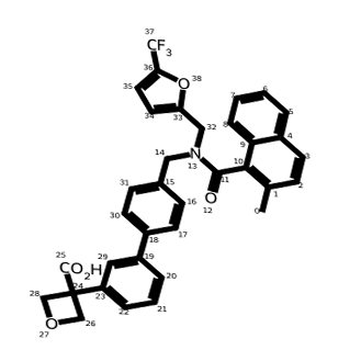 Cc1ccc2ccccc2c1C(=O)N(Cc1ccc(-c2cccc(C3(C(=O)O)COC3)c2)cc1)Cc1ccc(C(F)(F)F)o1